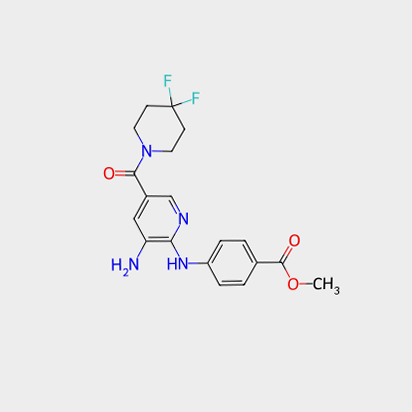 COC(=O)c1ccc(Nc2ncc(C(=O)N3CCC(F)(F)CC3)cc2N)cc1